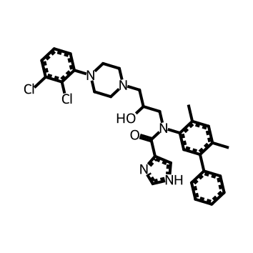 Cc1cc(C)c(N(CC(O)CN2CCN(c3cccc(Cl)c3Cl)CC2)C(=O)c2c[nH]cn2)cc1-c1ccccc1